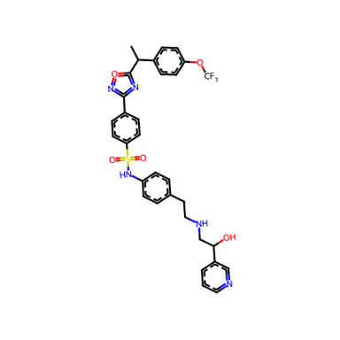 CC(c1ccc(OC(F)(F)F)cc1)c1nc(-c2ccc(S(=O)(=O)Nc3ccc(CCNCC(O)c4cccnc4)cc3)cc2)no1